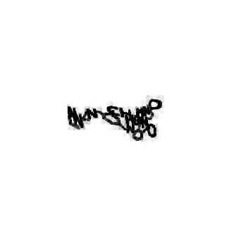 Cc1cc(CNc2cccc3c2C(=O)N(C2CCC(=O)NC2=O)C3=O)ccc1CN1CC(n2cccn2)C1